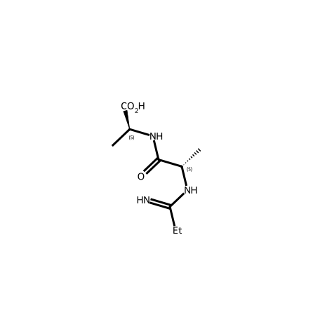 CCC(=N)N[C@@H](C)C(=O)N[C@@H](C)C(=O)O